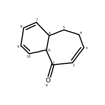 O=C1C=CCCC2C=CC=CC12